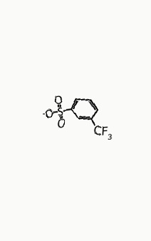 [O]S(=O)(=O)c1cccc(C(F)(F)F)c1